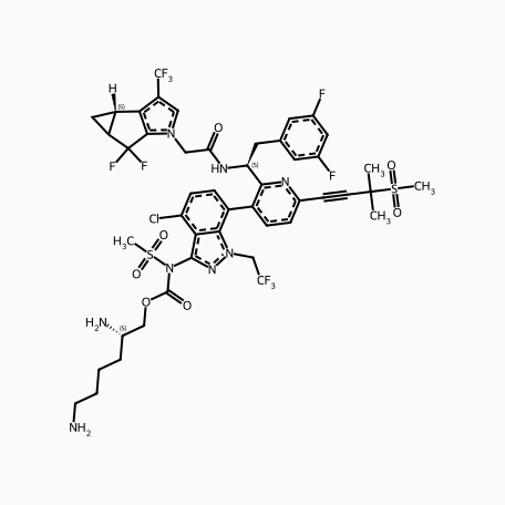 CC(C)(C#Cc1ccc(-c2ccc(Cl)c3c(N(C(=O)OC[C@@H](N)CCCCN)S(C)(=O)=O)nn(CC(F)(F)F)c23)c([C@H](Cc2cc(F)cc(F)c2)NC(=O)Cn2cc(C(F)(F)F)c3c2C(F)(F)C2C[C@H]32)n1)S(C)(=O)=O